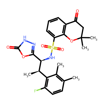 Cc1ccc(F)c([C@@H](C)[C@H](NS(=O)(=O)c2cccc3c2OC(C)(C)CC3=O)c2n[nH]c(=O)o2)c1C